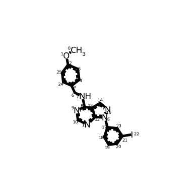 COc1ccc(CNc2ncnc3c2cnn3-c2cccc(I)c2)cc1